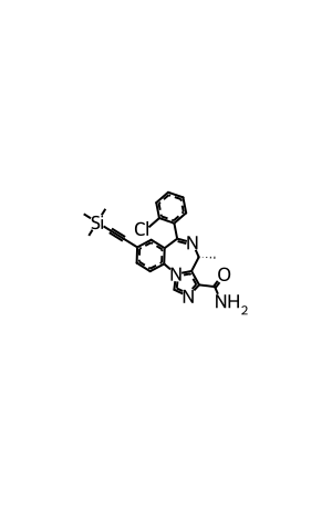 C[C@H]1N=C(c2ccccc2Cl)c2cc(C#C[Si](C)(C)C)ccc2-n2cnc(C(N)=O)c21